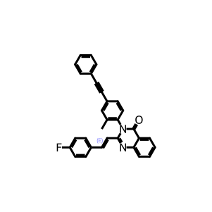 Cc1cc(C#Cc2ccccc2)ccc1-n1c(/C=C/c2ccc(F)cc2)nc2ccccc2c1=O